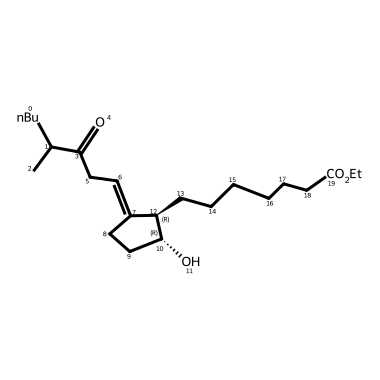 CCCCC(C)C(=O)CC=C1CC[C@@H](O)[C@@H]1CCCCCCC(=O)OCC